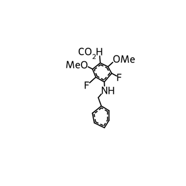 COc1c(F)c(NCc2ccccc2)c(F)c(OC)c1C(=O)O